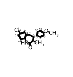 COc1ccc([C@H]2Cc3cc(Cl)ccc3NC(=O)[C@H]2C)cc1